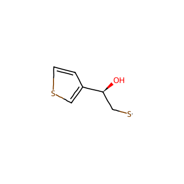 O[C@@H](C[S])c1ccsc1